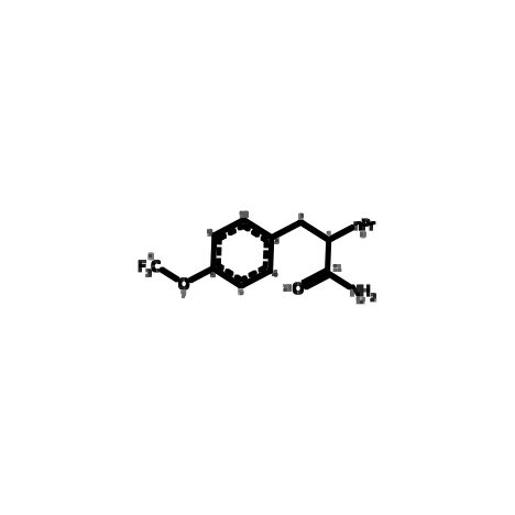 CCCC(Cc1ccc(OC(F)(F)F)cc1)C(N)=O